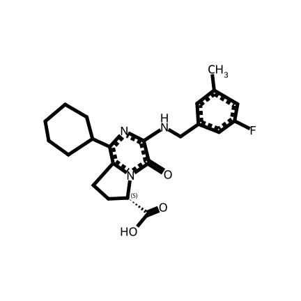 Cc1cc(F)cc(CNc2nc(C3CCCCC3)c3n(c2=O)[C@H](C(=O)O)CC3)c1